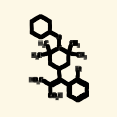 CCc1ccccc1C(=C(C(=O)O)C(=O)O)C1CC(C)(C)N(OC2CCCCC2)C(C)(C)C1